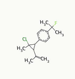 C=C(C)C1C(c2ccc(C(C)(C)F)cc2)C1(C)Cl